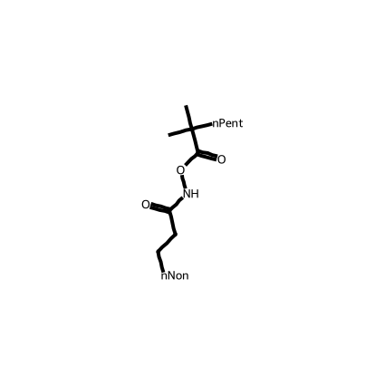 CCCCCCCCCCCC(=O)NOC(=O)C(C)(C)CCCCC